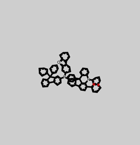 c1ccc(-c2ccc3c4c2N(c2ccccc2)c2ccccc2C4(c2ccccc2)c2cc(N(c4ccc5c(c4)C(c4ccccc4)(c4ccccc4)c4ccccc4-5)c4ccc5c(c4)oc4ccccc45)ccc2-3)cc1